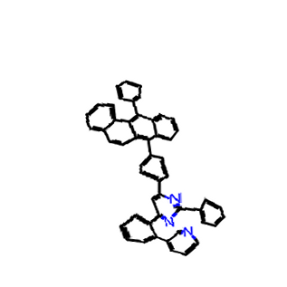 c1ccc(-c2nc(-c3ccc(-c4c5ccccc5c(-c5ccccc5)c5c4ccc4ccccc45)cc3)cc(-c3ccccc3-c3cccnc3)n2)cc1